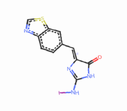 O=C1NC(NI)=N/C1=C\c1ccc2ncsc2c1